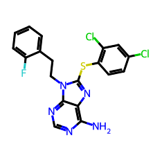 Nc1ncnc2c1nc(Sc1ccc(Cl)cc1Cl)n2CCc1ccccc1F